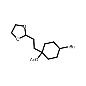 CCCCC1CCC(CCC2OCCO2)(OC(C)=O)CC1